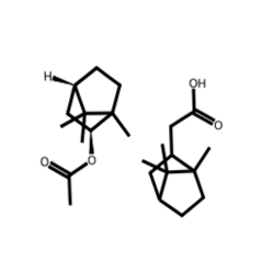 CC(=O)O[C@H]1C[C@@H]2CCC1(C)C2(C)C.CC1(C)C2CCC1(C)C(CC(=O)O)C2